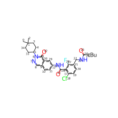 CC1(C)CCC(n2ncc3ccc(NC(=O)c4c(Cl)ccc(CNC(=O)C(C)(C)C)c4F)cc3c2=O)CC1